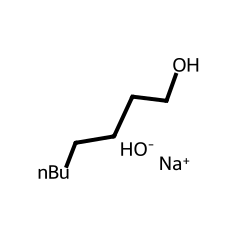 CCCCCCCCO.[Na+].[OH-]